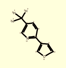 [2H]C([2H])([2H])c1ccc(-c2ccoc2)nc1